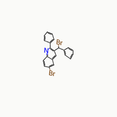 Brc1ccc2nc(-c3ccccc3)c(C(Br)c3ccccc3)cc2c1